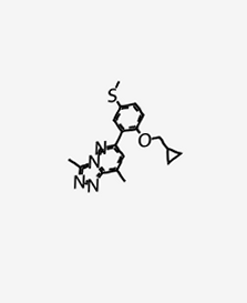 CSc1ccc(OCC2CC2)c(-c2cc(C)c3nnc(C)n3n2)c1